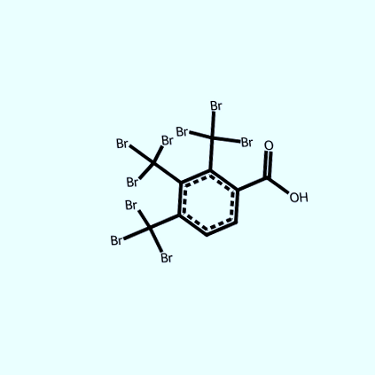 O=C(O)c1ccc(C(Br)(Br)Br)c(C(Br)(Br)Br)c1C(Br)(Br)Br